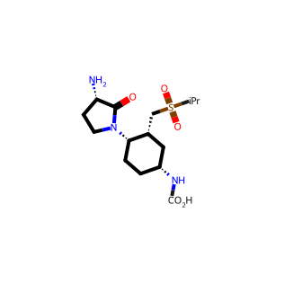 CC(C)S(=O)(=O)C[C@@H]1C[C@H](NC(=O)O)CC[C@@H]1N1CC[C@H](N)C1=O